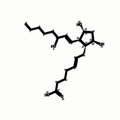 CCCCCC(O)C=C[C@@H]1[C@@H](CC=CCCCC(=O)O)[C@H](O)C[C@H]1O